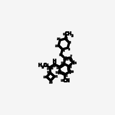 CC1CCC(Cn2cnc3nc(C#N)nc(N[C@H](C)C4CCC4)c32)CC1